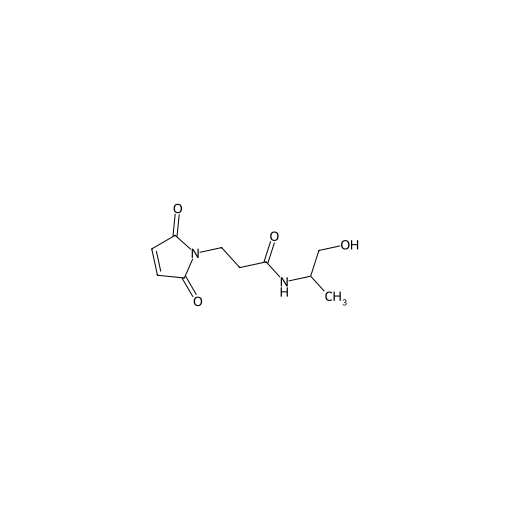 CC(CO)NC(=O)CCN1C(=O)C=CC1=O